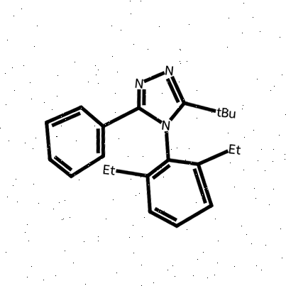 CCc1cccc(CC)c1-n1c(-c2ccccc2)nnc1C(C)(C)C